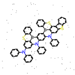 c1ccc(N(c2ccccc2)c2cc3c4c(c2)N(c2ccccc2)c2cc5c(cc2B4c2ccccc2S3)B2c3ccccc3Sc3c2c(cc2sc4ccccc4c32)N5c2ccccc2)cc1